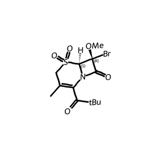 CO[C@@]1(Br)C(=O)N2C(C(=O)C(C)(C)C)=C(C)CS(=O)(=O)[C@H]21